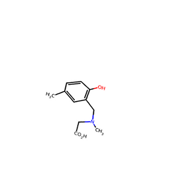 Cc1ccc(O)c(CN(C)CC(=O)O)c1